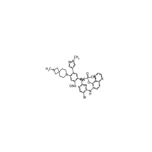 COc1cc(N2CCC3(CC2)CN(C)C3)c(-c2cnn(C)c2)cc1Nc1ncc(Br)c(Nc2ccc3nccnc3c2OP(C)(C)=O)n1